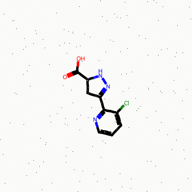 O=C(O)C1CC(c2ncccc2Cl)=NN1